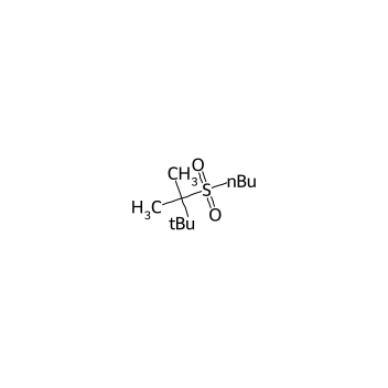 CCCCS(=O)(=O)C(C)(C)C(C)(C)C